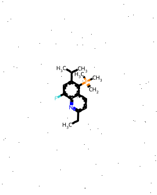 C=P(C)(C)c1c(C(C)C)cc(F)c2nc(CC)ccc12